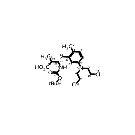 Cc1ccc(N(CCCl)CCCl)cc1C[C@H](NC(=O)OC(C)(C)C)C(C)C(=O)O